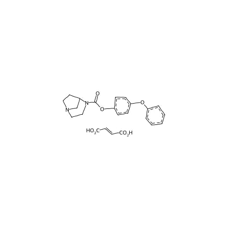 O=C(O)/C=C/C(=O)O.O=C(Oc1ccc(Oc2ccccc2)cc1)N1CCN2CCC1C2